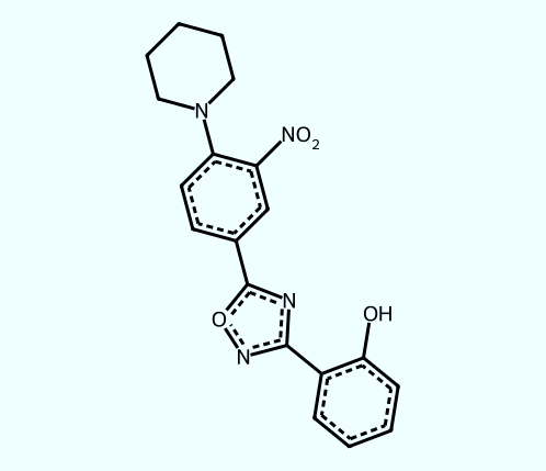 O=[N+]([O-])c1cc(-c2nc(-c3ccccc3O)no2)ccc1N1CCCCC1